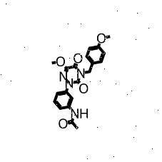 COc1ccc(Cn2c(=O)c(OC)nn(-c3cccc(NC(C)=O)c3)c2=O)cc1